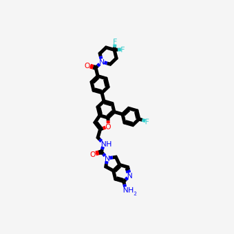 Nc1cc2c(cn1)CN(C(=O)NCc1cc3cc(-c4ccc(C(=O)N5CCC(F)(F)CC5)cc4)cc(-c4ccc(F)cc4)c3o1)C2